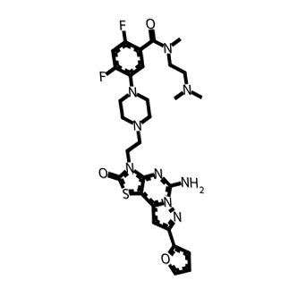 CN(C)CCN(C)C(=O)c1cc(N2CCN(CCn3c(=O)sc4c3nc(N)n3nc(-c5ccco5)cc43)CC2)c(F)cc1F